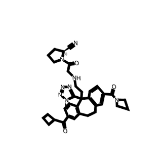 N#C[C@@H]1CCCN1C(=O)CNCCC1(c2nnn[nH]2)c2ccc(C(=O)C3CCC3)cc2CCc2cc(C(=O)N3CCC3)ccc21